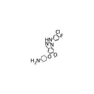 COc1cc2nc(Nc3ccc(F)c(Cl)c3)ncc2cc1O[C@H]1CC[C@H](N)CC1